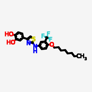 CCCCCCCCOc1ccc(Nc2nc(-c3ccc(O)c(O)c3)cs2)cc1C(F)(F)F